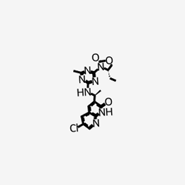 CC[C@H]1COC(=O)N1c1nc(C)nc(N[C@@H](C)c2cc3cc(Cl)cnc3[nH]c2=O)n1